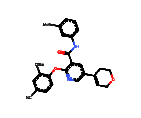 COc1cc(C#N)ccc1Oc1ncc(C2=CCOCC2)cc1C(=O)Nc1cccc(SC)c1